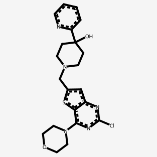 OC1(c2ccccn2)CCN(Cc2cc3nc(Cl)nc(N4CCOCC4)c3s2)CC1